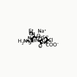 CCO/N=C(/C(=O)NC1C(=O)N2C(C(=O)[O-])=C(Cl)CS[C@H]12)c1csc(N)n1.[Na+]